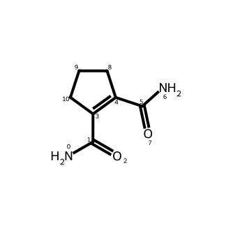 NC(=O)C1=C(C(N)=O)CCC1